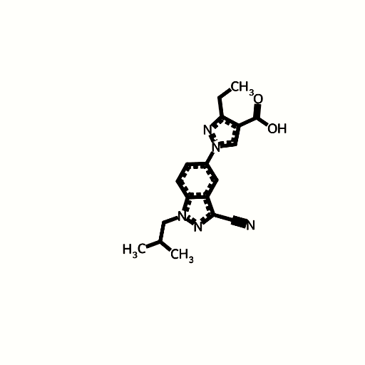 CCc1nn(-c2ccc3c(c2)c(C#N)nn3CC(C)C)cc1C(=O)O